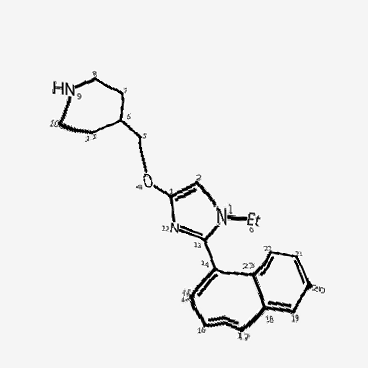 CCn1cc(OCC2CCNCC2)nc1-c1cccc2ccccc12